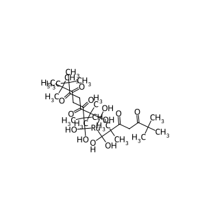 CC(C)(C)C(=O)CC(=O)C(C)(C)[C](O)(O)[Ru]([C](O)(O)C(C)(C)C(=O)CC(=O)C(C)(C)C)[C](O)(O)C(C)(C)C(=O)CC(=O)C(C)(C)C